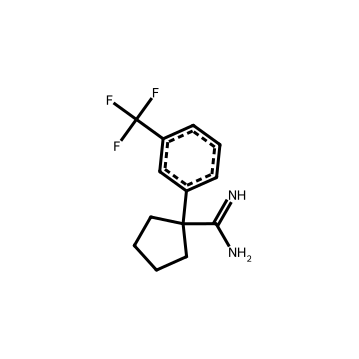 N=C(N)C1(c2cccc(C(F)(F)F)c2)CCCC1